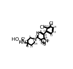 CC1(NC(=O)O)CCN(c2ncc(-c3cccc(Cl)c3Cl)c3nsnc23)CC1